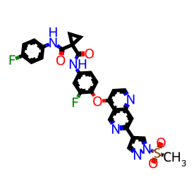 CS(=O)(=O)n1cc(-c2cc3nccc(Oc4ccc(NC(=O)C5(C(=O)Nc6ccc(F)cc6)CC5)cc4F)c3cn2)cn1